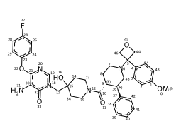 COc1ccc(C2(N3CC[C@@H](C(=O)N4CCC(O)(Cn5cnc(Oc6ccc(F)cc6)c(N)c5=O)CC4)[C@H](c4ccccc4)C3)COC2)cc1